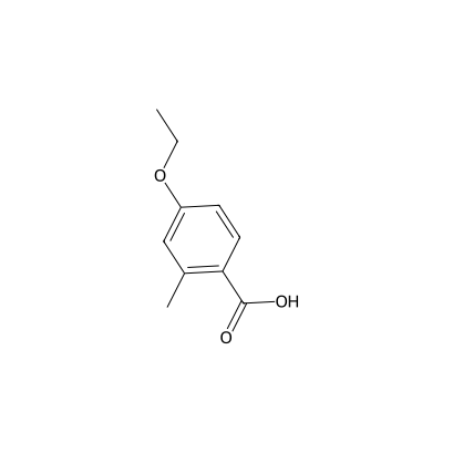 CCOc1ccc(C(=O)O)c(C)c1